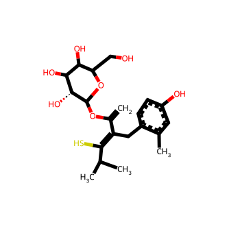 C=C(OC1OC(CO)C(O)C(O)[C@H]1O)/C(Cc1ccc(O)cc1C)=C(\S)C(C)C